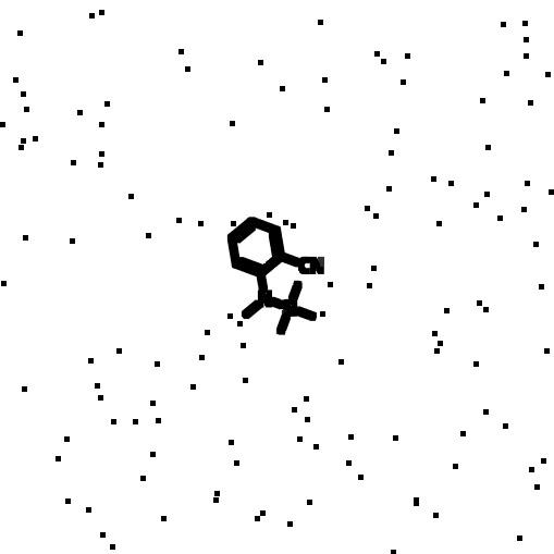 CN(c1ccccc1C#N)[Si](C)(C)C